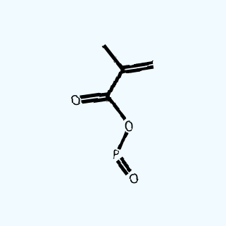 C=C(C)C(=O)OP=O